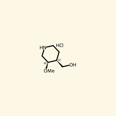 CO[C@H]1CNCC[C@H]1CO.Cl